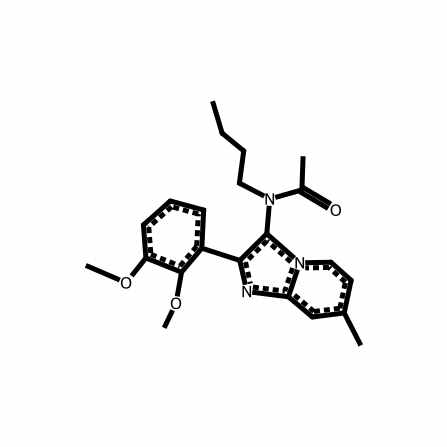 CCCCN(C(C)=O)c1c(-c2cccc(OC)c2OC)nc2cc(C)ccn12